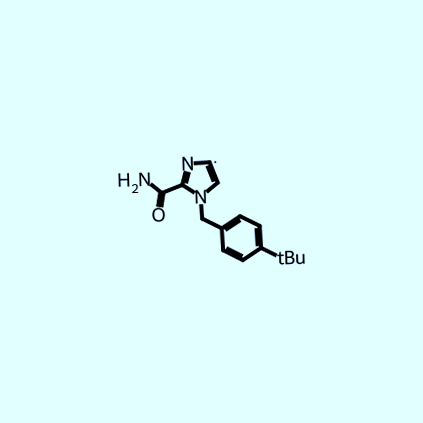 CC(C)(C)c1ccc(Cn2c[c]nc2C(N)=O)cc1